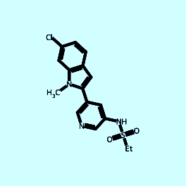 CCS(=O)(=O)Nc1cncc(-c2cc3ccc(Cl)cc3n2C)c1